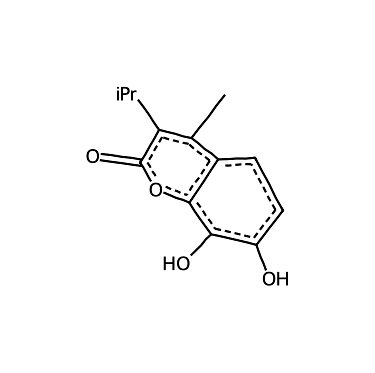 Cc1c(C(C)C)c(=O)oc2c(O)c(O)ccc12